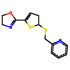 C1=C(C2=NCCO2)SC(SCc2ccccn2)C1